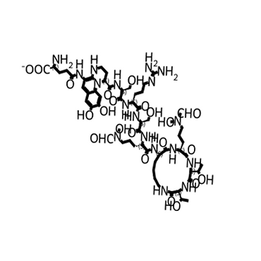 CC(O)[C@@H]1NC(=O)[C@H](CCCN(O)C=O)NC(=O)[C@@H](NC(=O)[C@H](CCCN(O)C=O)NC(=O)[C@H](CO)NC(=O)[C@H](CCCN=C(N)N)NC(=O)[C@H](CO)NC(=O)[C@@H]2CCNc3c(NC(=O)CC[C@H](N)C(=O)[O-])cc4cc(O)c(O)cc4[n+]32)CCCCNC(=O)[C@H](C(C)O)NC1=O